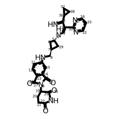 N=C(/C(=C\N[C@H]1C[C@H](CNc2ccc3c(c2)C(=O)N(C2CCC(=O)NC2=O)C3=O)C1)c1ncccn1)C1CC1